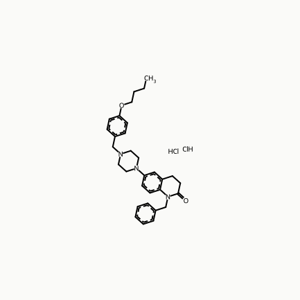 CCCCOc1ccc(CN2CCN(c3ccc4c(c3)CCC(=O)N4Cc3ccccc3)CC2)cc1.Cl.Cl